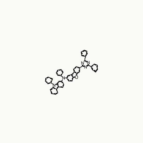 c1ccc(-c2nc(-c3ccccc3)nc(-c3ccc4c(c3)oc3ccc(N(c5ccccc5)c5ccc6c7ccccc7n(-c7ccccc7)c6c5)cc34)n2)cc1